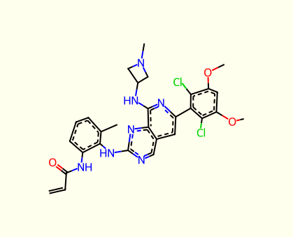 C=CC(=O)Nc1cccc(C)c1Nc1ncc2cc(-c3c(Cl)c(OC)cc(OC)c3Cl)nc(NC3CN(C)C3)c2n1